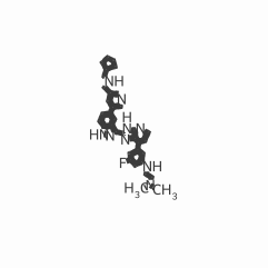 CN(C)CCNc1cc(F)cc(-c2ccnc3[nH]c(-c4n[nH]c5ccc(-c6cncc(CNCC7CCCC7)c6)cc45)nc23)c1